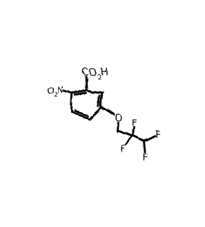 O=C(O)c1cc(OCC(F)(F)C(F)F)ccc1[N+](=O)[O-]